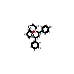 c1ccc(C(CC(c2ccccc2)N2CCOCC2)N2CCCC2)cc1